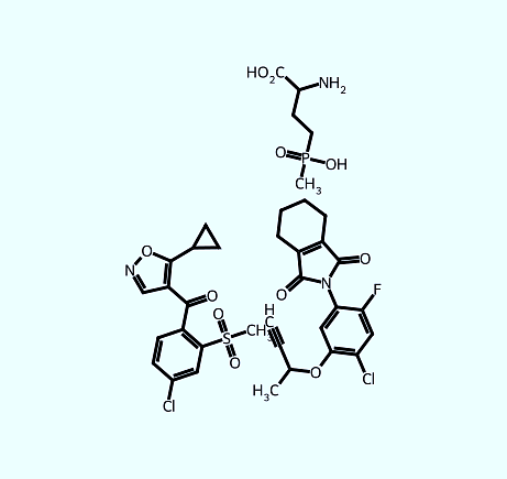 C#CC(C)Oc1cc(N2C(=O)C3=C(CCCC3)C2=O)c(F)cc1Cl.CP(=O)(O)CCC(N)C(=O)O.CS(=O)(=O)c1cc(Cl)ccc1C(=O)c1cnoc1C1CC1